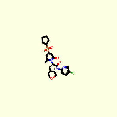 Cc1cc(S(=O)(=O)C2CCCC2)cc(=O)n1[C@H](CC1CCOCC1)C(=O)Nc1ccc(Cl)cn1